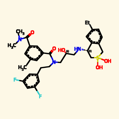 CCc1ccc2c(c1)[C@@H](NC[C@@H](O)CN(CCc1cc(F)cc(F)c1)C(=O)c1cc(C)cc(C(=O)N(C)C)c1)CS(O)(O)C2